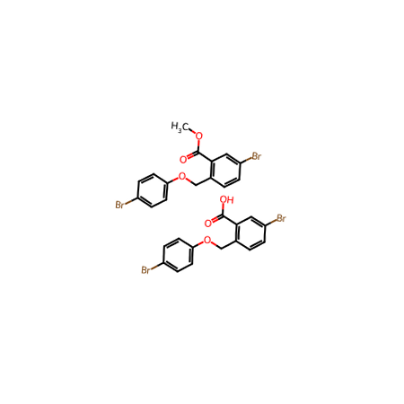 COC(=O)c1cc(Br)ccc1COc1ccc(Br)cc1.O=C(O)c1cc(Br)ccc1COc1ccc(Br)cc1